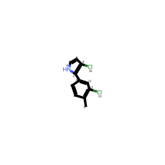 Cc1ccc(-c2[nH]ccc2Cl)cc1Cl